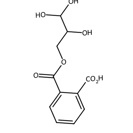 O=C(O)c1ccccc1C(=O)OCC(O)C(O)O